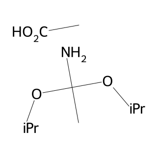 CC(=O)O.CC(C)OC(C)(N)OC(C)C